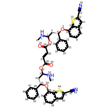 CNC(C[C@H](Oc1cccc2cc(C#N)sc12)c1ccccc1)OC(=O)/C=C/C(=O)OC(C[C@H](Oc1cccc2cc(C#N)sc12)c1ccccc1)NC